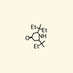 CCC(C)(C)C1CC(=O)CC(C(C)(CC)CC)N1